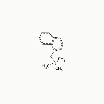 C[N+](C)(C)Cc1cccc2ccccc12